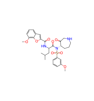 COc1cccc(S(=O)(=O)N(C(=O)C(CC(C)C)NC(=O)c2cc3cccc(OC)c3o2)[C@H]2CCCNCC2=O)c1